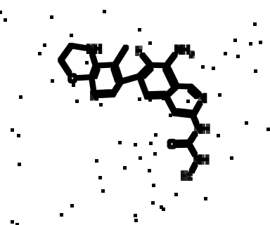 CCNC(=O)Nc1cc2cc(-c3cnc4c(c3C)NCCO4)c(F)c(N)c2cn1